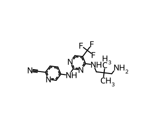 CC(C)(CN)CNc1nc(Nc2ccc(C#N)nc2)ncc1C(F)(F)F